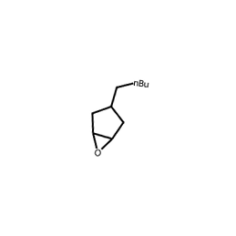 CCCCCC1CC2OC2C1